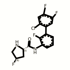 O=C(Nc1cccc(-c2cc(F)c(F)cc2Cl)c1F)[C@@H]1C[C@@H](F)CN1